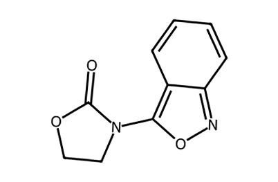 O=C1OCCN1c1onc2ccccc12